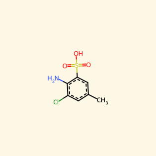 Cc1cc(Cl)c(N)c(S(=O)(=O)O)c1